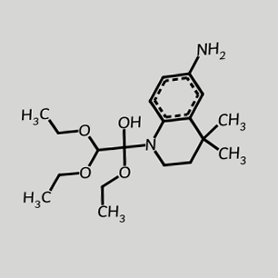 CCOC(OCC)C(O)(OCC)N1CCC(C)(C)c2cc(N)ccc21